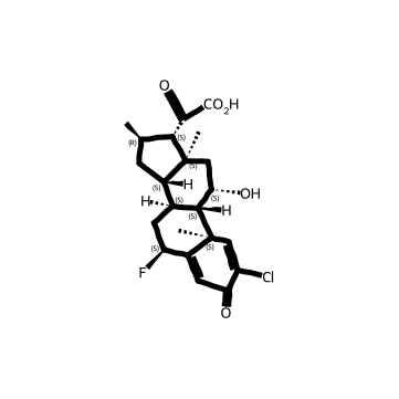 C[C@@H]1C[C@H]2[C@@H]3C[C@H](F)C4=CC(=O)C(Cl)=C[C@]4(C)[C@H]3[C@@H](O)C[C@]2(C)[C@H]1C(=O)C(=O)O